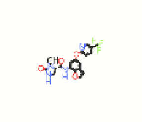 CN1C(=O)NC[C@@H]1C(=O)Nc1cc(Oc2ccc(C(F)(F)F)cn2)cc2ccoc12